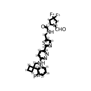 O=CN1CC(F)(F)C[C@H]1C(=O)NCc1cnc(-c2ccc(NCC3(c4ncccc4F)CCC3)nn2)s1